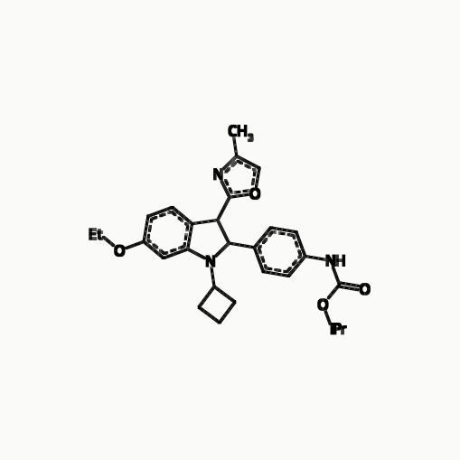 CCOc1ccc2c(c1)N(C1CCC1)C(c1ccc(NC(=O)OC(C)C)cc1)C2c1nc(C)co1